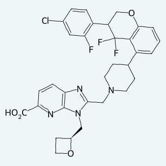 O=C(O)c1ccc2nc(CN3CCC(c4cccc5c4C(F)(F)C(c4ccc(Cl)cc4F)CO5)CC3)n(C[C@@H]3CCO3)c2n1